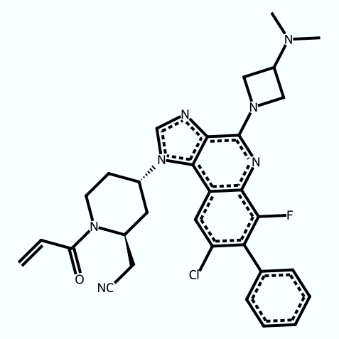 C=CC(=O)N1CC[C@H](n2cnc3c(N4CC(N(C)C)C4)nc4c(F)c(-c5ccccc5)c(Cl)cc4c32)C[C@H]1CC#N